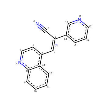 N#C/C(=C\c1ccnc2ccccc12)c1cccnc1